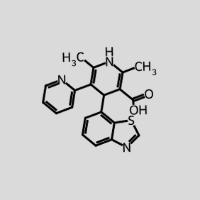 CC1=C(C(=O)O)C(c2cccc3ncsc23)C(c2ccccn2)=C(C)N1